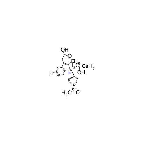 CC1=C(CC(=O)O)c2cc(F)ccc2/C1=C\c1ccc([S+](C)[O-])cc1.CCO.[CaH2]